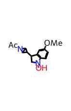 COc1ccc2c(c1)C(C1C3C1N3C(C)=O)CN2O